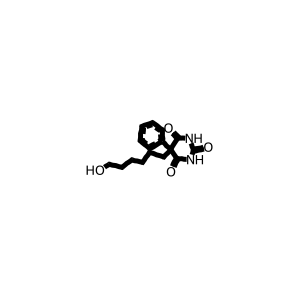 O=C1NC(=O)C(CCCCCCO)(c2ccccc2)C(=O)N1